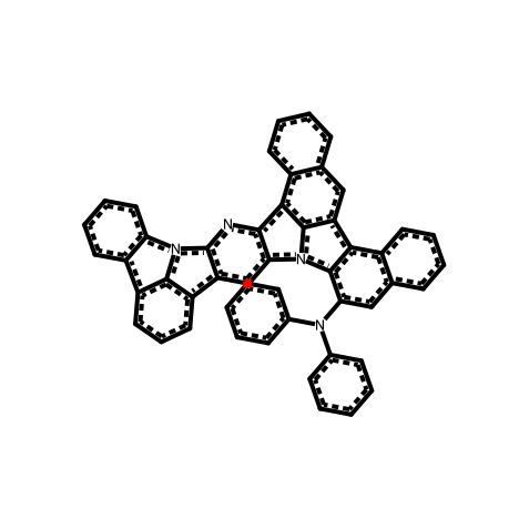 c1ccc(N(c2ccccc2)c2cc3ccccc3c3c4cc5ccccc5c5c6nc7c(cc6n(c23)c45)c2cccc3c4ccccc4n7c32)cc1